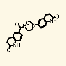 O=C1CCc2cc(C(=O)N3CCN(c4ccc5[nH]c(=O)ccc5c4)CC3)ccc2N1